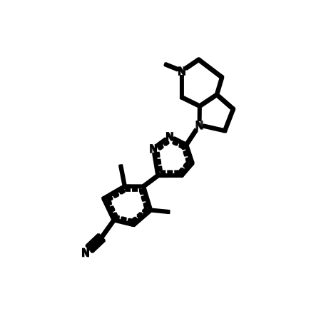 Cc1cc(C#N)cc(C)c1-c1ccc(N2CCC3CCN(C)CC32)nn1